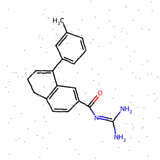 Cc1cccc(C2=CCCc3ccc(C(=O)N=C(N)N)cc32)c1